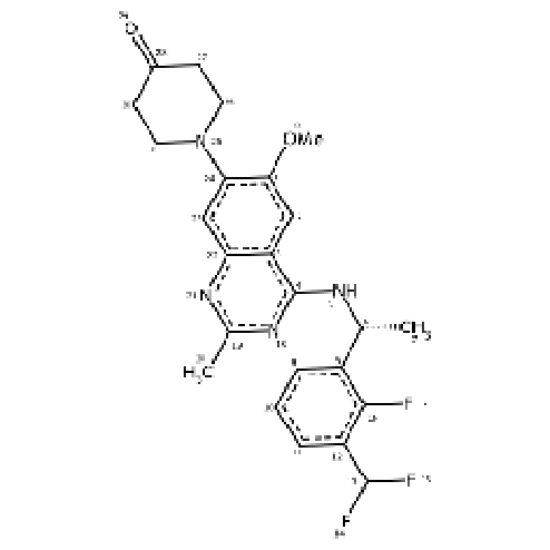 COc1cc2c(N[C@H](C)c3cccc(C(F)F)c3F)nc(C)nc2cc1N1CCC(=O)CC1